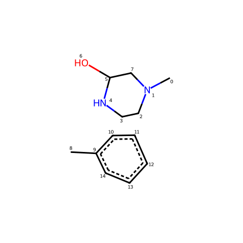 CN1CCNC(O)C1.Cc1ccccc1